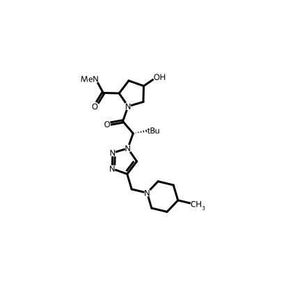 CNC(=O)C1CC(O)CN1C(=O)[C@@H](n1cc(CN2CCC(C)CC2)nn1)C(C)(C)C